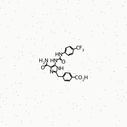 NC(=O)c1nc(Cc2ccc(C(=O)O)cc2)[nH]c1NC(=O)Nc1ccc(C(F)(F)F)cc1